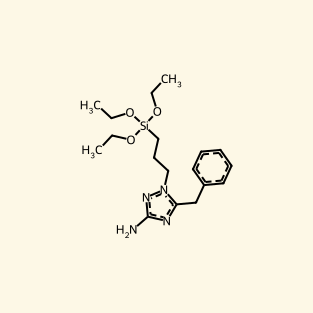 CCO[Si](CCCn1nc(N)nc1Cc1ccccc1)(OCC)OCC